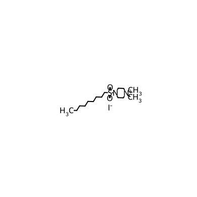 CCCCCCCCCS(=O)(=O)N1CC[N+](C)(C)CC1.[I-]